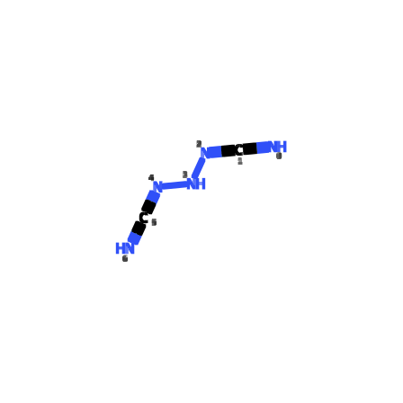 N=C=NNN=C=N